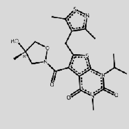 Cc1nsc(C)c1Cc1sc2c(c1C(=O)N1C[C@](C)(O)CO1)c(=O)n(C)c(=O)n2C(C)C